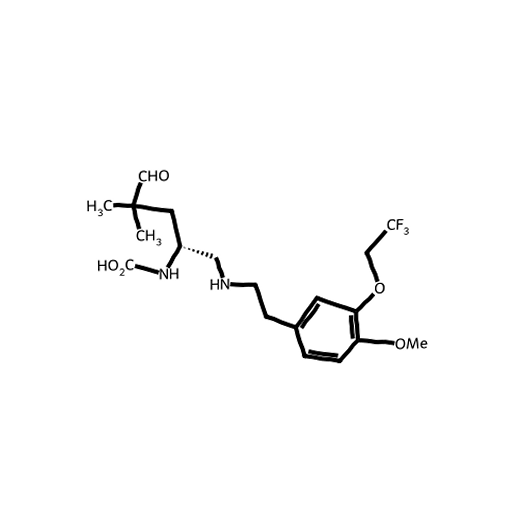 COc1ccc(CCNC[C@@H](CC(C)(C)C=O)NC(=O)O)cc1OCC(F)(F)F